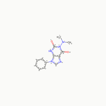 CN(C)n1c(=O)[nH]c2c(ncn2-c2ccccc2)c1=O